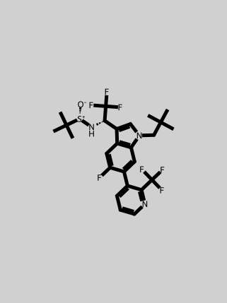 CC(C)(C)Cn1cc([C@H](N[S@@+]([O-])C(C)(C)C)C(F)(F)F)c2cc(F)c(-c3cccnc3C(F)(F)F)cc21